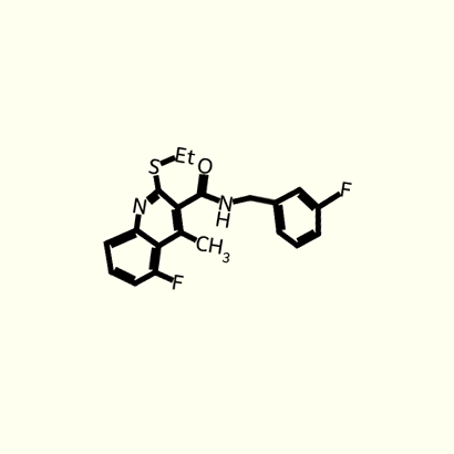 CCSc1nc2cccc(F)c2c(C)c1C(=O)NCc1cccc(F)c1